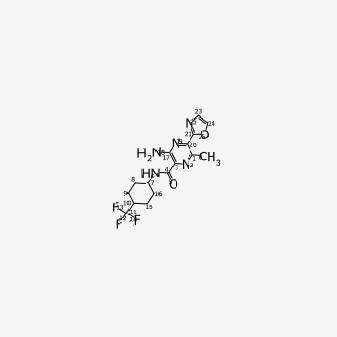 Cc1nc(C(=O)NC2CCC(C(F)(F)F)CC2)c(N)nc1-c1ncco1